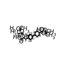 CC(C)(C)OC(=O)NC(Cc1ccc(C2CCC(C(=O)OC(C)(C)C)CC2)cc1)C(=O)O